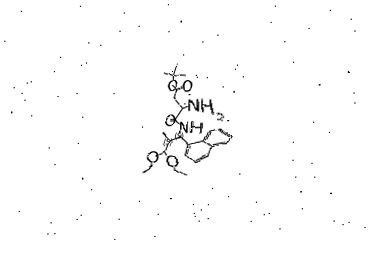 CCOC(OCC)[C@@H](C)[C@H](NC(=O)C(N)CC(=O)OC(C)(C)C)c1cccc2ccccc12